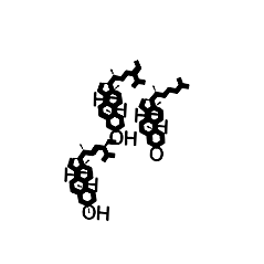 C/C=C(\CC[C@@H](C)[C@H]1CC[C@H]2[C@@H]3CC=C4C[C@@H](O)CC[C@]4(C)[C@H]3CC[C@]12C)C(C)C.CC(C)CCC[C@@H](C)[C@H]1CC[C@H]2[C@@H]3CCC4=CC(=O)CC[C@]4(C)[C@H]3CC[C@]12C.CC[C@H](/C=C/[C@@H](C)[C@H]1CC[C@H]2[C@@H]3CC=C4C[C@@H](O)CC[C@]4(C)[C@H]3CC[C@]12C)C(C)C